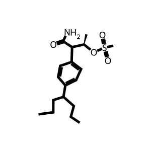 CCCC(CCC)c1ccc(C(C(N)=O)[C@@H](C)OS(C)(=O)=O)cc1